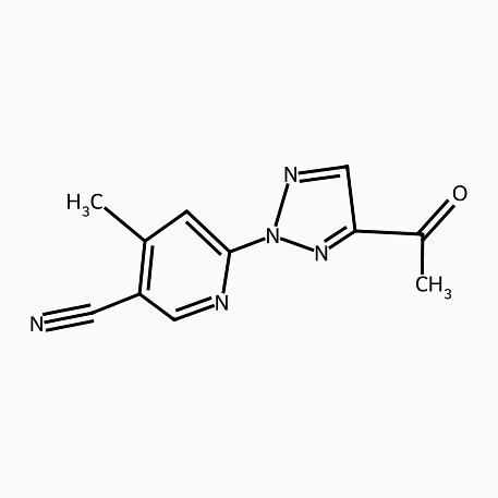 CC(=O)c1cnn(-c2cc(C)c(C#N)cn2)n1